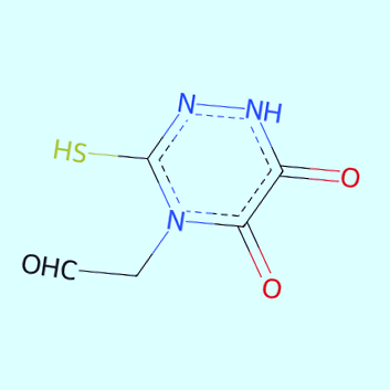 O=CCn1c(S)n[nH]c(=O)c1=O